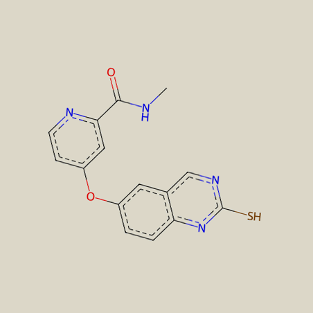 CNC(=O)c1cc(Oc2ccc3nc(S)ncc3c2)ccn1